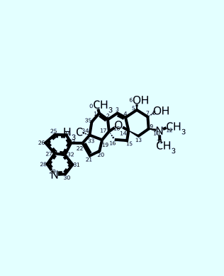 CC1=C2C=C3[C@@H](O)[C@H](O)[C@@H](N(C)C)C[C@]34CC[C@]2(O4)C2CC=C(c3cccc4cnccc34)[C@@]2(C)C1